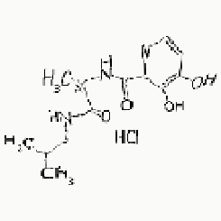 CC(C)CNC(=O)[C@H](C)NC(=O)c1nccc(O)c1O.Cl